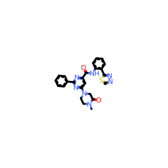 CN1CCN(c2cc(C(=O)Nc3ccccc3-c3nncs3)nc(-c3ccccc3)n2)CC1=O